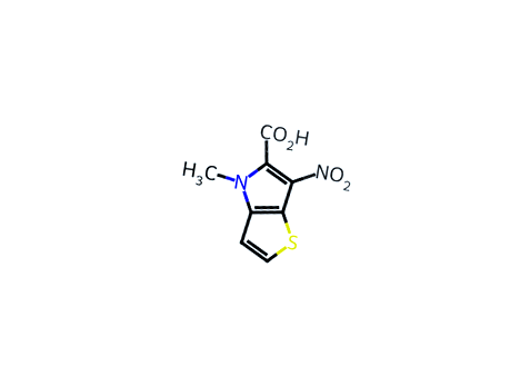 Cn1c(C(=O)O)c([N+](=O)[O-])c2sccc21